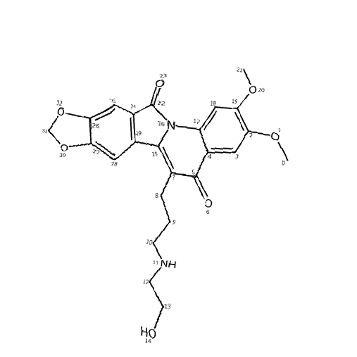 COc1cc2c(=O)c(CCCNCCO)c3n(c2cc1OC)C(=O)c1cc2c(cc1-3)OCO2